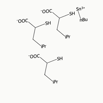 CC(C)CC(S)C(=O)[O-].CC(C)CC(S)C(=O)[O-].CC(C)CC(S)C(=O)[O-].CCC[CH2][Sn+3]